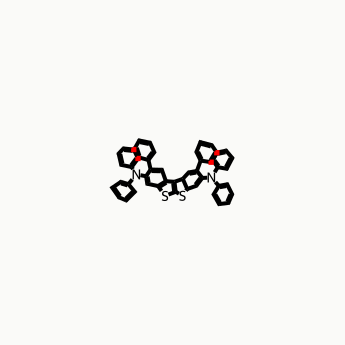 C1=C(c2ccccc2)C(N(c2ccccc2)c2ccccc2)=CC2Sc3sc4cc(N(c5ccccc5)c5ccccc5)c(-c5ccccc5)cc4c3C12